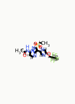 CCS(=O)(=O)c1nn2c(NC(C)=O)ccnc2c1-c1cnc(OCC(F)(F)C(F)(F)F)cn1